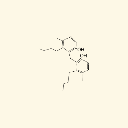 CCCCc1c(C)ccc(O)c1Cc1c(O)ccc(C)c1CCCC